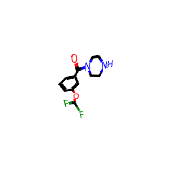 O=C(c1cccc(OC(F)F)c1)N1CCNCC1